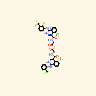 CN1C=C(C(=O)NCC(=O)OC(=O)CNC(=O)C2=CN(C)C(Nc3cccc(F)c3C(F)(F)F)c3cccc(Cl)c32)c2c(Cl)cccc2C1Nc1cccc(C(F)(F)F)c1F